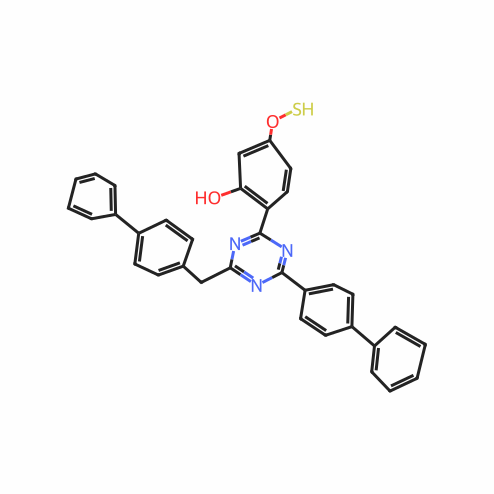 Oc1cc(OS)ccc1-c1nc(Cc2ccc(-c3ccccc3)cc2)nc(-c2ccc(-c3ccccc3)cc2)n1